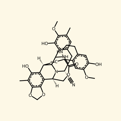 COc1cc2c(cc1O)CCN[C@]21CS[C@@H]2c3c(O)c(C)c4c(c3[C@H](COC1=O)N1C2C2NC(Cc3cc(C)c(OC)c(O)c32)[C@@H]1C#N)OCO4